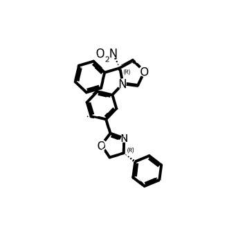 O=[N+]([O-])[C@]1(c2ccccc2)COCN1c1cc[c]c(C2=N[C@H](c3ccccc3)CO2)c1